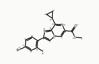 COC(=O)c1cn2cc(-c3ccc(Br)cc3F)nc2c(C2CC2)n1